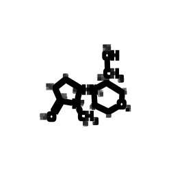 C1COCCN1.CN1CCCC1=O.CO